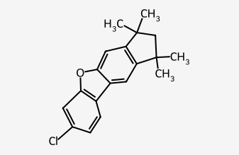 CC1(C)CC(C)(C)c2cc3c(cc21)oc1cc(Cl)ccc13